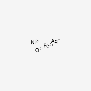 [Ag+].[Fe+2].[Ni+2].[O-2]